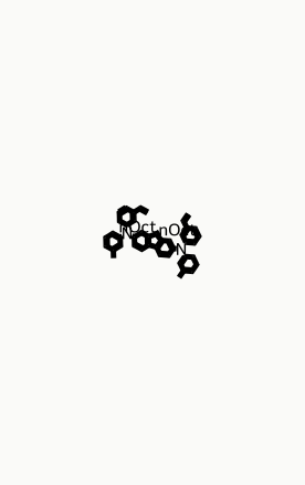 C=CC1=CC(N(c2cccc(C)c2)C2C=CC3=C(C2)C(CCCCCCCC)(CCCCCCCC)c2cc(N(C4=CC(C)=CCC4)c4cccc(C=C)c4)ccc23)CC#C1